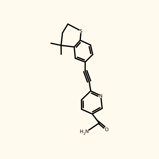 CC1(C)CCSc2ccc(C#Cc3ccc(C(N)=O)cn3)cc21